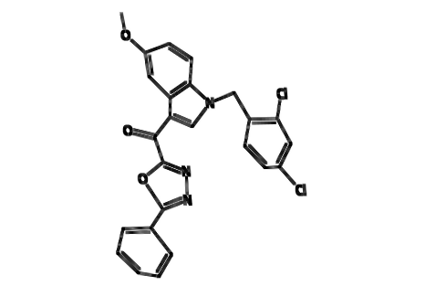 COc1ccc2c(c1)c(C(=O)c1nnc(-c3ccccc3)o1)cn2Cc1ccc(Cl)cc1Cl